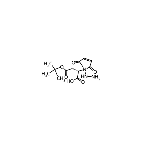 CC(C)(C)OC(=O)C[C@@H](C(=O)O)[N+]1(NN)C(=O)C=CC1=O